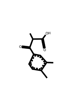 Cc1ccc(C(=O)C(C)C(=O)O)cc1C